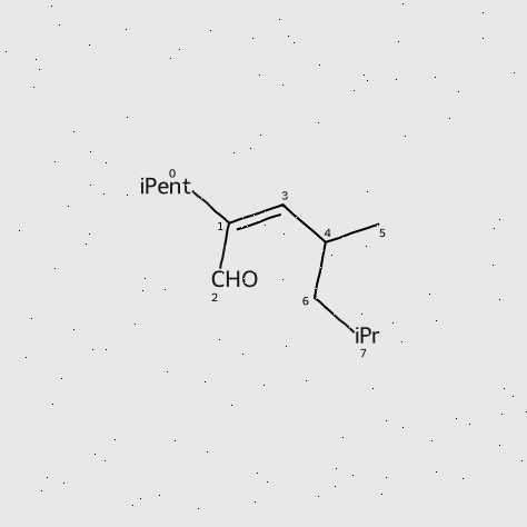 CCCC(C)C(C=O)=CC(C)CC(C)C